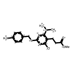 COC(=O)CCc1c(Cl)nc(SCc2ccc(N)cc2)nc1N(C)C